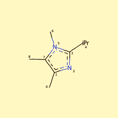 Cc1nc(C(C)C)n(C)c1C